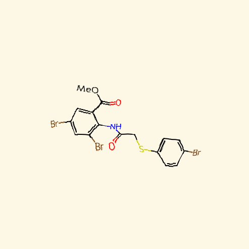 COC(=O)c1cc(Br)cc(Br)c1NC(=O)CSc1ccc(Br)cc1